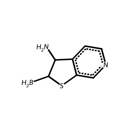 BC1Sc2cnccc2C1N